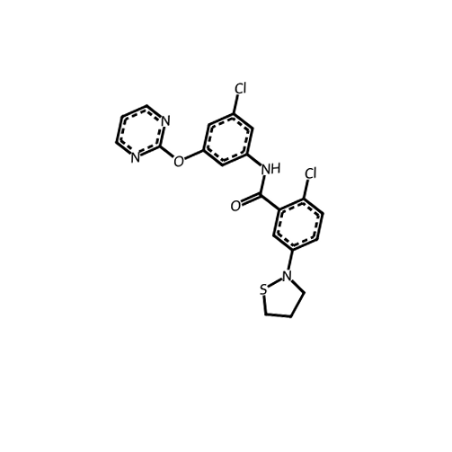 O=C(Nc1cc(Cl)cc(Oc2ncccn2)c1)c1cc(N2CCCS2)ccc1Cl